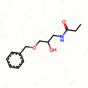 CCC(=O)NCC(O)COCc1ccccc1